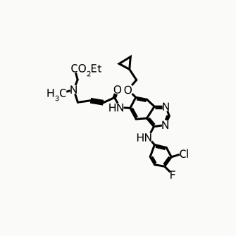 CCOC(=O)CN(C)CC#CC(=O)Nc1cc2c(Nc3ccc(F)c(Cl)c3)ncnc2cc1OCC1CC1